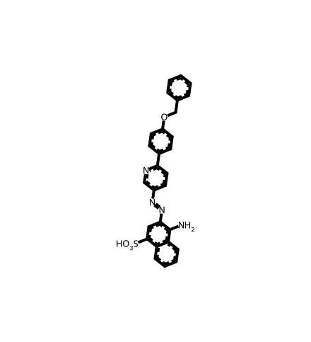 Nc1c(N=Nc2ccc(-c3ccc(OCc4ccccc4)cc3)nc2)cc(S(=O)(=O)O)c2ccccc12